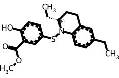 CCc1ccc2c(c1)CC[C@@H](CC)N2Sc1ccc(O)c(C(=O)OC)c1